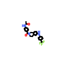 CC(=O)Nc1ccc(C(=O)N2CCc3cc(Nc4ccc(C(F)(F)F)cc4)ccc3C2)cc1